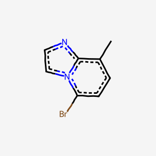 Cc1ccc(Br)n2ccnc12